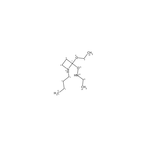 CCCC[SiH]1CCC1(OCC)ONCC